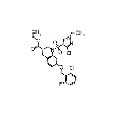 CCOC(=O)C1Cc2ccc(OCc3c(F)cccc3Cl)cc2N(S(=O)(=O)c2cn(CC)nc2Cl)C1